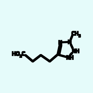 CN1N=C(CCCC(=O)O)NN1